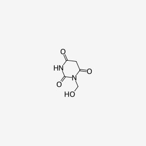 O=C1CC(=O)N(CO)C(=O)N1